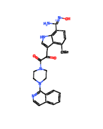 COc1ccc(/C(N)=N\O)c2[nH]cc(C(=O)C(=O)N3CCN(c4nccc5ccccc45)CC3)c12